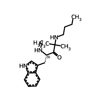 CCCCNC(C)(C)C(=O)[C@H](Cc1c[nH]c2ccccc12)NC